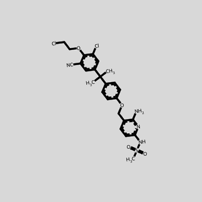 CC(C)(c1ccc(OCc2ccc(NS(C)(=O)=O)nc2N)cc1)c1cc(Cl)c(OCCCl)c(C#N)c1